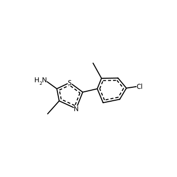 Cc1cc(Cl)ccc1-c1nc(C)c(N)s1